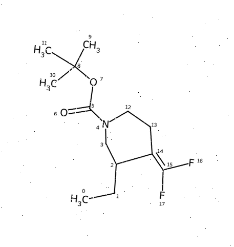 CCC1CN(C(=O)OC(C)(C)C)CCC1=C(F)F